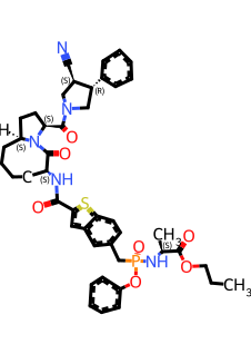 CCCOC(=O)[C@H](C)NP(=O)(Cc1ccc2sc(C(=O)N[C@H]3CCCC[C@H]4CC[C@@H](C(=O)N5C[C@@H](C#N)[C@H](c6ccccc6)C5)N4C3=O)cc2c1)Oc1ccccc1